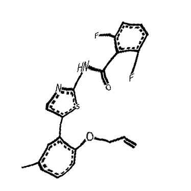 C=CCOc1ccc(C)cc1-c1cnc(NC(=O)c2c(F)cccc2F)s1